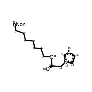 CCCCCCCCCCCCCCCCOC(=O)C[n+]1ccsc1